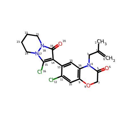 C=C(C)CN1C(=O)COc2cc(Cl)c(-c3c(Cl)n4n(c3=O)CCCC4)cc21